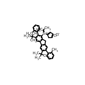 C[C](C)=[Zr+2]([C]1=CC=CC1)[c]1c2c(cc(C(C)(C)C)c1-c1ccccc1C)-c1cc(C(C)(C)C)c(-c3ccccc3C)cc1C2.[Cl-].[Cl-]